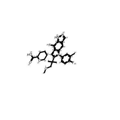 COCC(C)(C)c1c([C@H]2CCC(C(=O)O)OC2)c2c(F)c3[nH]ncc3cc2n1-c1ccc(F)c(C)c1